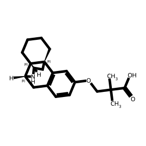 CC(C)(COc1ccc2c(c1)[C@@]13CCCC[C@H]1[C@@H](C2)NCC3)C(=O)O